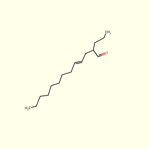 CCCCCCCC/C=C/CC(C=O)CCC